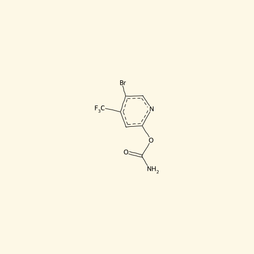 NC(=O)Oc1cc(C(F)(F)F)c(Br)cn1